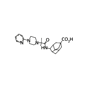 CC(C)(C(=O)NC1C2CC3CC1CC(C(=O)O)(C3)C2)N1CCN(c2ccccn2)CC1